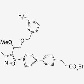 CCOC(=O)CCc1ccc(-c2ccc(-c3onc(C)c3C(COCc3cccc(C(F)(F)F)c3)OC)cc2)cc1